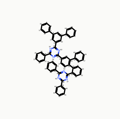 c1ccc(-c2cc(-c3ccccc3)cc(-c3nc(-c4ccccc4)nc(-c4ccc(-c5ccccc5-c5nc(-c6ccccc6)nc(-c6ccccc6)n5)c(-c5ccccc5)c4)n3)c2)cc1